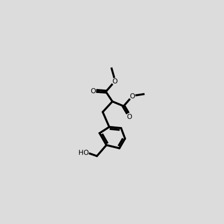 COC(=O)C(Cc1cccc(CO)c1)C(=O)OC